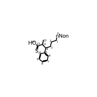 CCCCCCCCCCCCC(c1ccccc1)C(C)C(O)=S